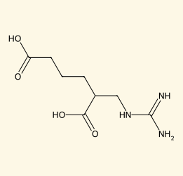 N=C(N)NCC(CCCC(=O)O)C(=O)O